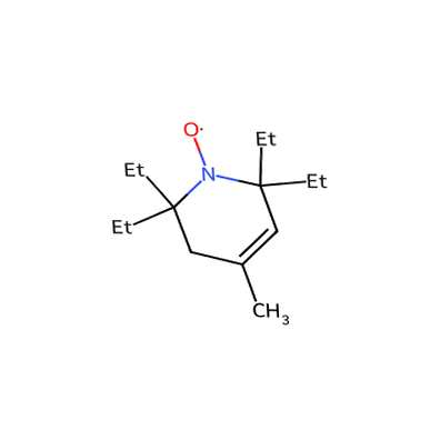 CCC1(CC)C=C(C)CC(CC)(CC)N1[O]